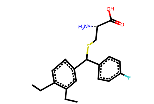 CCc1ccc(C(SC[C@H](N)C(=O)O)c2ccc(F)cc2)cc1CC